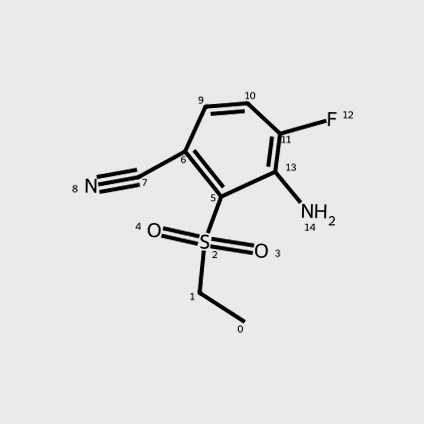 CCS(=O)(=O)c1c(C#N)ccc(F)c1N